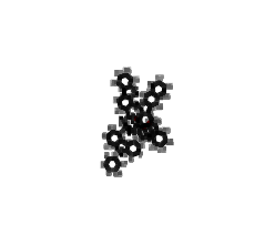 c1ccc(-n2c3ccccc3c3c(-c4nc(-c5ccc6ccccc6c5)nc(-c5ccc6c(sc7ccccc76)c5-n5c6cc7ccccc7cc6c6cc7ccccc7cc65)n4)cccc32)cc1